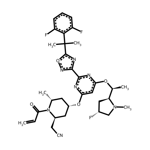 C=CC(=O)N1[C@H](CC#N)C[C@@H](Oc2cc(O[C@@H](C)[C@@H]3C[C@@H](F)CN3C)nc(-c3noc(C(C)(C)c4c(F)cccc4F)n3)n2)C[C@H]1C